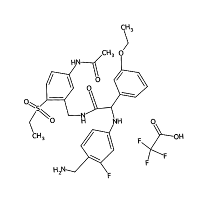 CCOc1cccc(C(Nc2ccc(CN)c(F)c2)C(=O)NCc2cc(NC(C)=O)ccc2S(=O)(=O)CC)c1.O=C(O)C(F)(F)F